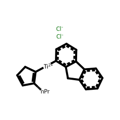 CCCC1=[C]([Ti+2][c]2cccc3c2Cc2ccccc2-3)CC=C1.[Cl-].[Cl-]